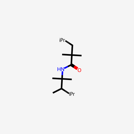 CC(C)CC(C)(C)C(=O)NC(C)(C)C(C)C(C)C